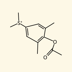 CC(=O)Oc1c(C)cc([S+](C)C)cc1C